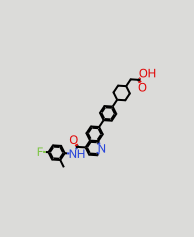 Cc1cc(F)ccc1NC(=O)c1ccnc2cc(-c3ccc(C4CCC(CC(=O)O)CC4)cc3)ccc12